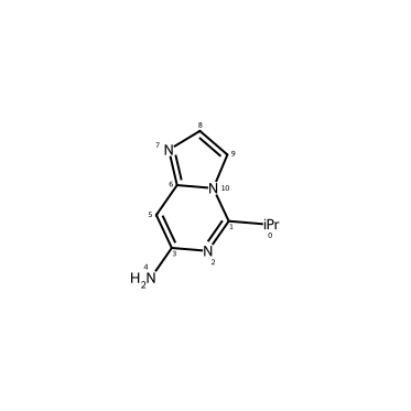 CC(C)c1nc(N)cc2nccn12